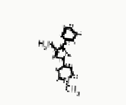 CN1CCC(n2cc(N)c(-c3ccccc3)n2)CC1